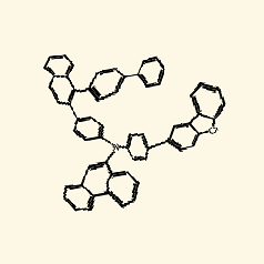 c1ccc(-c2ccc(-c3c(-c4ccc(N(c5ccc(-c6ccc7oc8ccccc8c7c6)cc5)c5cc6ccccc6c6ccccc56)cc4)ccc4ccccc34)cc2)cc1